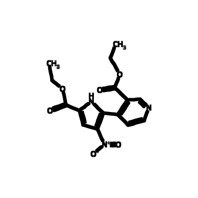 CCOC(=O)c1cc([N+](=O)[O-])c(-c2ccncc2C(=O)OCC)[nH]1